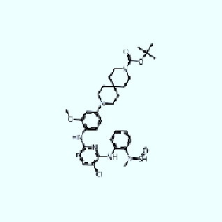 COc1cc(N2CCC3(CCN(C(=O)OC(C)(C)C)CC3)CC2)ccc1Nc1ncc(Cl)c(Nc2ccccc2N(C)[SH]=O)n1